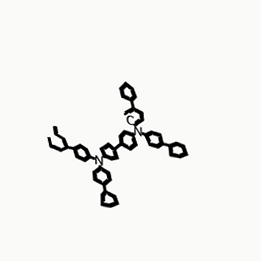 C=C/C=C(\C=C/C)c1ccc(N(c2ccc(-c3ccccc3)cc2)c2ccc(-c3ccc(N(c4ccc(-c5ccccc5)cc4)c4ccc(-c5ccccc5)cc4)cc3)cc2)cc1